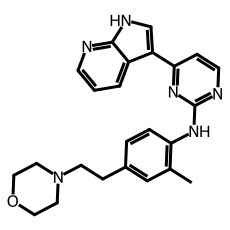 Cc1cc(CCN2CCOCC2)ccc1Nc1nccc(-c2c[nH]c3ncccc23)n1